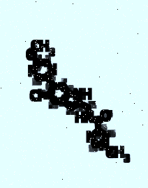 COc1cnc(-c2cc3[nH]c(CNC(=O)c4cn(C)cn4)cc3cc2Cl)cn1